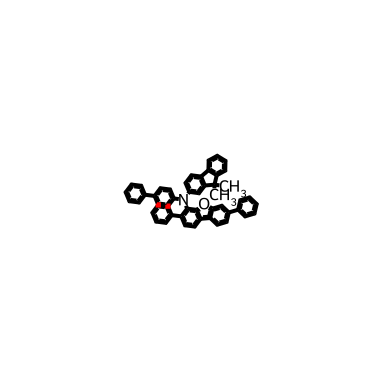 CC1(C)c2ccccc2-c2ccc(N(c3ccc(-c4ccccc4)cc3)c3c(-c4ccccc4)ccc4c3oc3cc(-c5ccccc5)ccc34)cc21